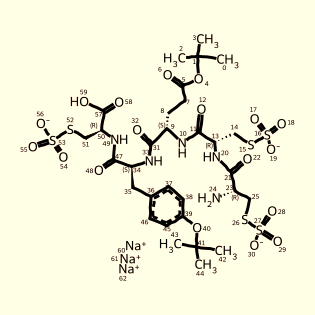 CC(C)(C)OC(=O)CC[C@H](NC(=O)[C@H](CSS(=O)(=O)[O-])NC(=O)[C@@H](N)CSS(=O)(=O)[O-])C(=O)N[C@@H](Cc1ccc(OC(C)(C)C)cc1)C(=O)N[C@@H](CSS(=O)(=O)[O-])C(=O)O.[Na+].[Na+].[Na+]